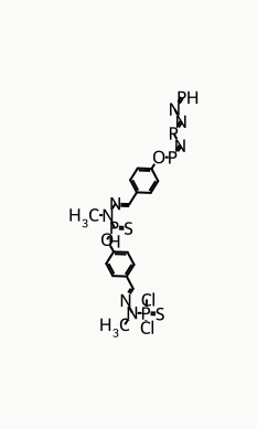 CN(N=Cc1ccc(O/P=N\P=N\N=P)cc1)[PH](=S)Oc1ccc(C=NN(C)P(=S)(Cl)Cl)cc1